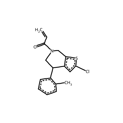 C=CC(=O)N1Cc2sc(Cl)cc2C(c2ccccc2C)C1